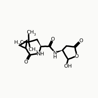 CC(C)(C)C[C@H](NC(=O)C1CC1)C(=O)N[C@H]1CC(=O)OC1O